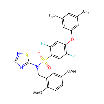 COc1ccc(OC)c(CN(c2ncns2)S(=O)(=O)c2cc(F)c(Oc3cc(C(F)(F)F)cc(C(F)(F)F)c3)cc2F)c1